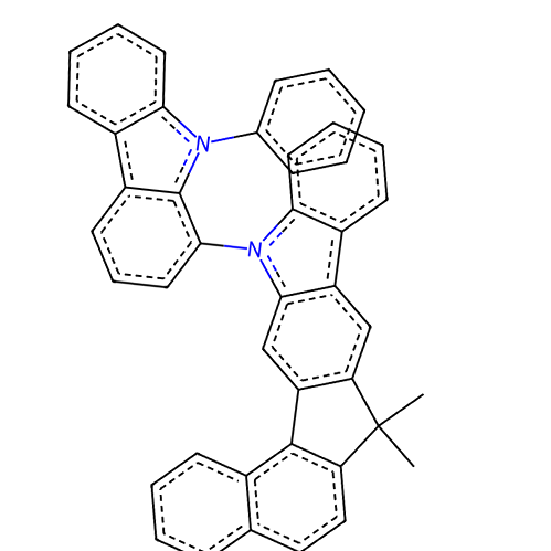 CC1(C)c2cc3c4ccccc4n(-c4cccc5c6ccccc6n(-c6ccccc6)c45)c3cc2-c2c1ccc1ccccc21